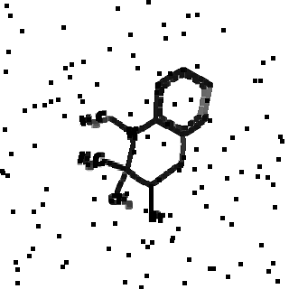 CC(C)C1Cc2ccccc2N(C)C1(C)C